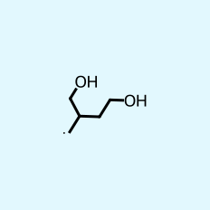 [CH2]C(CO)CCO